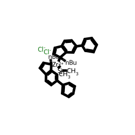 CCCC[C]1([Zr+2](=[Si](C)C)[C]2(CCCC)C=Cc3ccc(-c4ccccc4)cc32)C=Cc2ccc(-c3ccccc3)cc21.[Cl-].[Cl-]